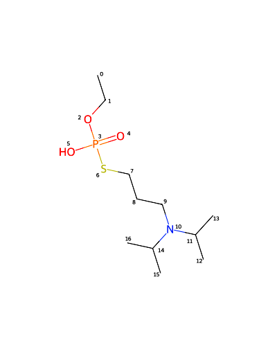 CCOP(=O)(O)SCCCN(C(C)C)C(C)C